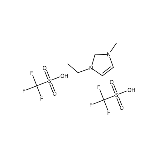 CCN1C=CN(C)C1.O=S(=O)(O)C(F)(F)F.O=S(=O)(O)C(F)(F)F